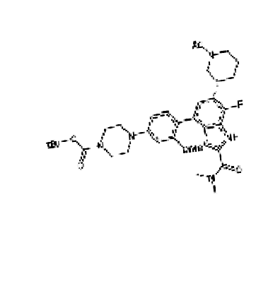 COc1cc(N2CCN(C(=O)OC(C)(C)C)CC2)ccc1-c1cc([C@H]2CCCN(C(C)=O)C2)c(F)c2[nH]c(C(=O)N(C)C)cc12